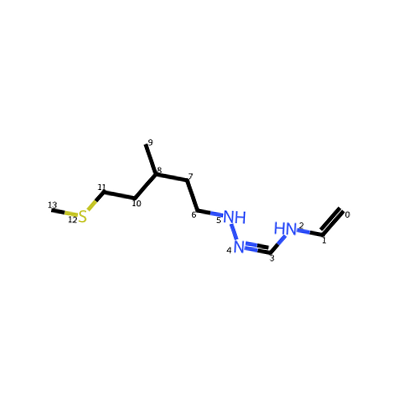 C=CN/C=N\NCCC(C)CCSC